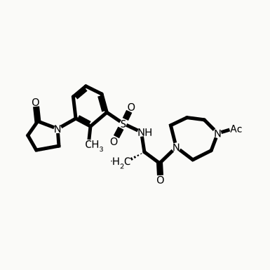 [CH2][C@H](NS(=O)(=O)c1cccc(N2CCCC2=O)c1C)C(=O)N1CCCN(C(C)=O)CC1